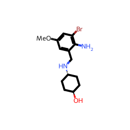 COc1cc(Br)c(N)c(CN[C@H]2CC[C@H](O)CC2)c1